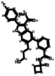 CCC1(NC(=O)c2cccc(-c3cc4c(C(=O)NC)c(-c5ccc(F)cc5)oc4cc3CCCO)c2)CCC1